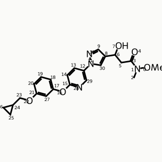 CON(C)C(=O)CC(O)c1cnn(-c2ccc(Oc3cccc(OCC4CC4)c3)nc2)c1